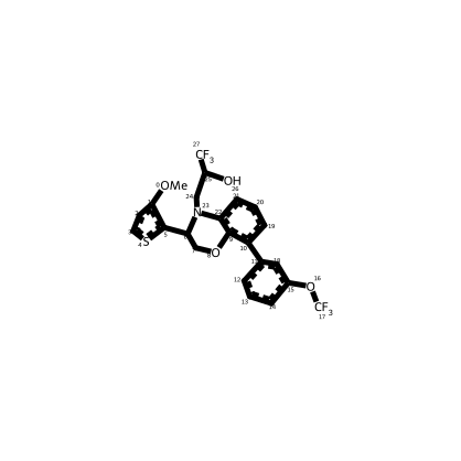 COc1ccsc1C1COc2c(-c3cccc(OC(F)(F)F)c3)cccc2N1CC(O)C(F)(F)F